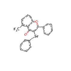 O=c1c([Se]c2ccccc2)c(-c2ccccc2)oc2cccc(C(F)(F)F)c12